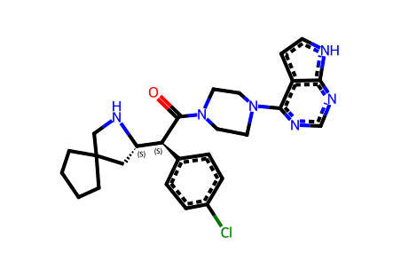 O=C([C@@H](c1ccc(Cl)cc1)[C@@H]1CC2(CCCC2)CN1)N1CCN(c2ncnc3[nH]ccc23)CC1